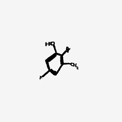 Cc1cc(F)cc(O)c1Br